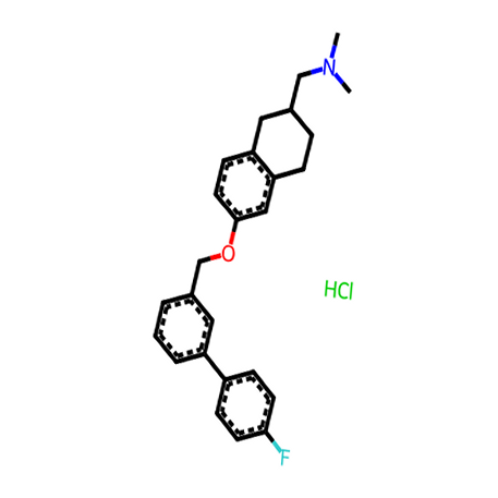 CN(C)CC1CCc2cc(OCc3cccc(-c4ccc(F)cc4)c3)ccc2C1.Cl